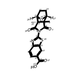 CC12C(=O)N(c3nc4ccc(C(=O)O)cc4s3)C(=O)[C@@]1(C)[C@@H]1CC[C@H]2O1